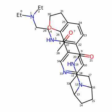 CCN(CC)CCNC(=O)c1ccc(N2C3CCC2CC(NC(=O)c2ccc4c(c2C)OCC4)C3)nc1